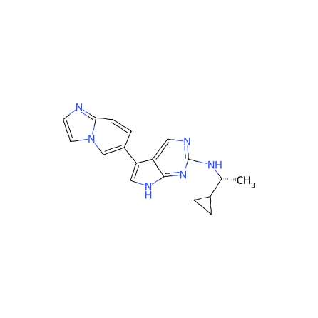 C[C@@H](Nc1ncc2c(-c3ccc4nccn4c3)c[nH]c2n1)C1CC1